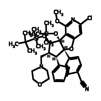 COc1nc(Cl)cc2c1[C@]1(O[Si](C)(C)C)[C@H](O[Si](C)(C)C(C)(C)C)[C@H](CN3CCOCC3)[C@@H](c3ccccc3)[C@]1(c1ccc(C#N)cc1)O2